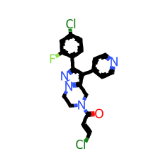 O=C(/C=C/Cl)N1CCn2nc(-c3ccc(Cl)cc3F)c(-c3ccncc3)c2C1